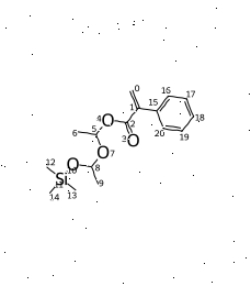 C=C(C(=O)OC(C)OC(C)O[Si](C)(C)C)c1ccccc1